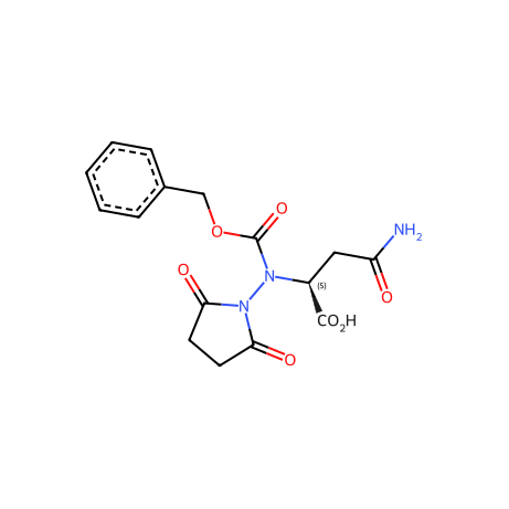 NC(=O)C[C@@H](C(=O)O)N(C(=O)OCc1ccccc1)N1C(=O)CCC1=O